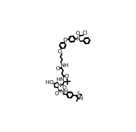 Cc1ncsc1-c1ccc(CNC(=O)[C@H]2C[C@@H](O)CN2C(=O)[C@H](NC(=O)CCC(=O)NCCCCOc2ccc(Oc3ccc(N(Cc4ccccc4)C(=O)CCl)cc3)cc2)C(C)(C)C)cc1